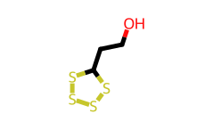 OCCC1SSSS1